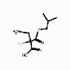 CC(C)COC(=O)C(N)(CN)C(=O)O